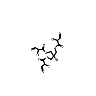 CCC(COC(=O)C(Cl)C=S)(COC(=O)C(Cl)C=S)COC(=O)C(Cl)C=S